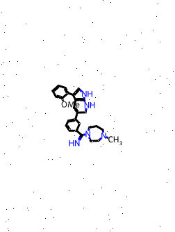 COc1ccccc1-c1c[nH]c2c1C=C(C1=CC=CC(C(=N)N3CCCN(C)CC3)C1)CN2